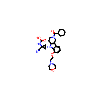 N#CC1(NC(=O)O)CC1.O=C(C1CCCCC1)N1CCc2[nH]c3c(OCCN4CCOCC4)cccc3c2C1